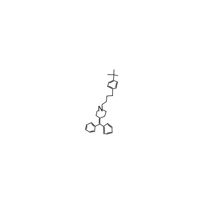 CC(C)(C)c1ccc(CCCCN2CCC(=C(c3ccccc3)c3ccccc3)CC2)cc1